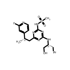 CC(C)C[C@H](CO)Nc1nc(C[C@H](C)c2ccnc(F)c2)nc(NS(C)(=O)=O)n1